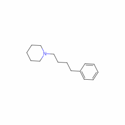 c1ccc(CCCCN2CCCCC2)cc1